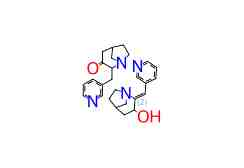 O=C1CC2CCN(C2)C1Cc1cccnc1.OC1CC2CCN(C2)/C1=C\c1cccnc1